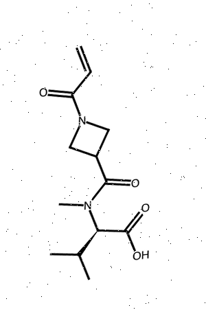 C=CC(=O)N1CC(C(=O)N(C)[C@@H](C(=O)O)C(C)C)C1